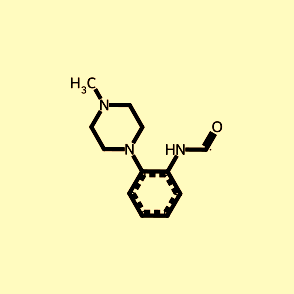 CN1CCN(c2ccccc2N[C]=O)CC1